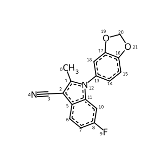 Cc1c(C#N)c2ccc(F)cc2n1-c1ccc2c(c1)OCO2